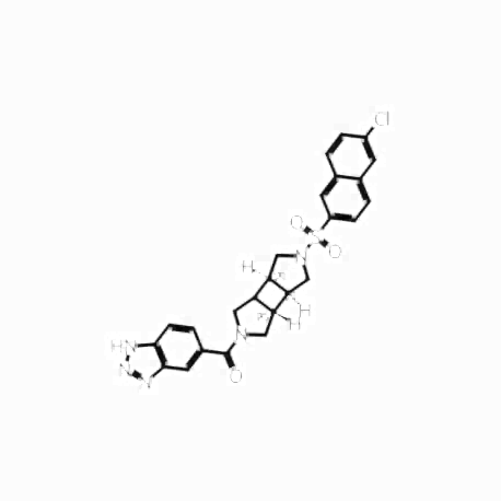 O=C(c1ccc2[nH]nnc2c1)N1CC2[C@@H](C1)[C@@H]1CN(S(=O)(=O)c3ccc4cc(Cl)ccc4c3)C[C@H]21